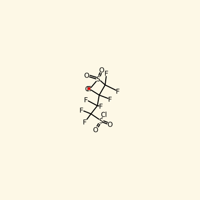 O=S(=O)(Cl)C(F)(F)C(F)(F)C(F)(F)C(F)(F)S(=O)(=O)Cl